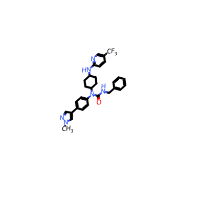 Cn1cc(-c2ccc(N(C(=O)NCc3ccccc3)C3CCC(Nc4ccc(C(F)(F)F)cn4)CC3)cc2)cn1